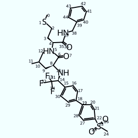 CSCC[C@H](NC(=O)[C@H](CC(C)C)N[C@@H](c1ccc(-c2ccc(S(C)(=O)=O)cc2)cc1)C(F)(F)F)C(=O)NCc1ccccc1